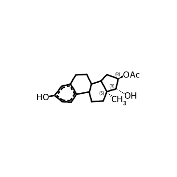 CC(=O)O[C@@H]1CC2C3CCc4cc(O)ccc4C3CC[C@]2(C)[C@H]1O